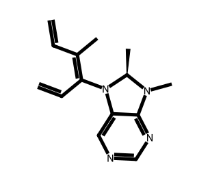 C=C/C(C)=C(\C=C)N1c2cncnc2N(C)[C@@H]1C